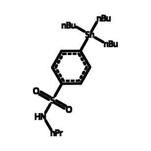 CCC[CH2][Sn]([CH2]CCC)([CH2]CCC)[c]1ccc(S(=O)(=O)NCCC)cc1